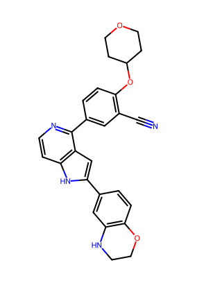 N#Cc1cc(-c2nccc3[nH]c(-c4ccc5c(c4)NCCO5)cc23)ccc1OC1CCOCC1